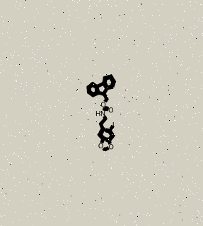 O=C(NCCc1cc2c(cc1I)OCO2)OCC1c2ccccc2-c2ccccc21